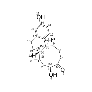 C[C@H]1C[C@H](O)C(=O)CCC[C@@H]2c3ccc(O)cc3CC[C@H]21